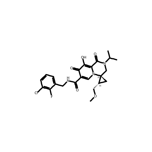 COC[C@H]1C[C@@]12CN(C(C)C)C(=O)c1c(O)c(=O)c(C(=O)NCc3cccc(Cl)c3F)cn12